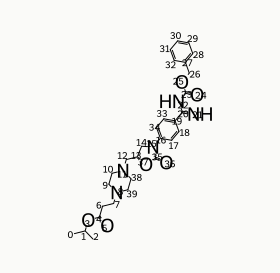 CC(C)OC(=O)CCN1CCN(CC2CN(c3ccc(C(=N)NC(=O)OCc4ccccc4)cc3)C(=O)O2)CC1